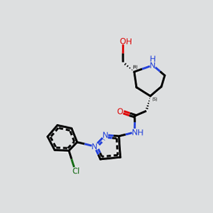 O=C(C[C@H]1CCN[C@@H](CO)C1)Nc1ccn(-c2ccccc2Cl)n1